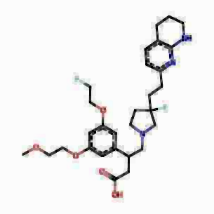 COCCOc1cc(OCCF)cc(C(CC(=O)O)CN2CCC(F)(CCc3ccc4c(n3)NCCC4)C2)c1